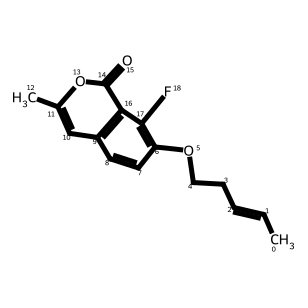 C/C=C/CCOc1ccc2cc(C)oc(=O)c2c1F